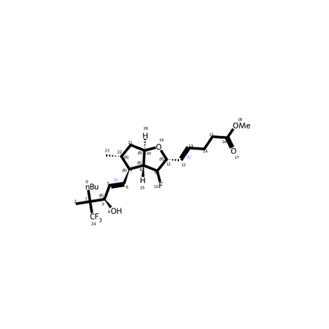 CCCCC(C)([C@H](O)/C=C/[C@@H]1[C@H]2C(F)[C@@H](/C=C/CCC(=O)OC)O[C@@H]2C[C@H]1C)C(F)(F)F